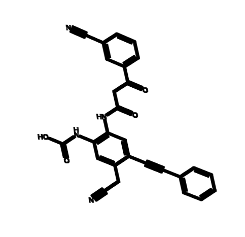 N#CCc1cc(NC(=O)O)c(NC(=O)CC(=O)c2cccc(C#N)c2)cc1C#Cc1ccccc1